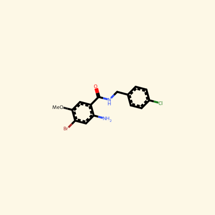 COc1cc(C(=O)NCc2ccc(Cl)cc2)c(N)cc1Br